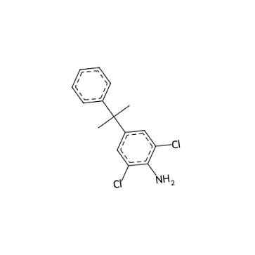 CC(C)(c1ccccc1)c1cc(Cl)c(N)c(Cl)c1